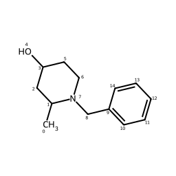 CC1CC(O)CCN1Cc1ccccc1